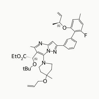 C=CCOC1(C)CCN(c2c([C@H](OC(C)(C)C)C(=O)OCC)c(C)nc3cc(-c4cccc(-c5c(F)cc(C)cc5O[C@@H](C)C=C)c4)nn23)CC1